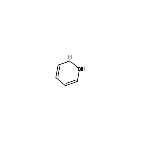 C1=C[IH][BiH][CH]=C1